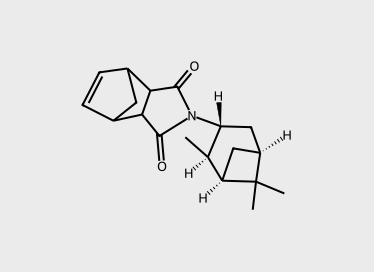 C[C@H]1[C@H](N2C(=O)C3C4C=CC(C4)C3C2=O)C[C@@H]2C[C@H]1C2(C)C